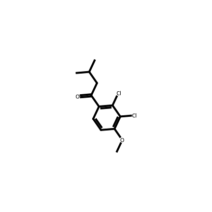 COc1ccc(C(=O)CC(C)C)c(Cl)c1Cl